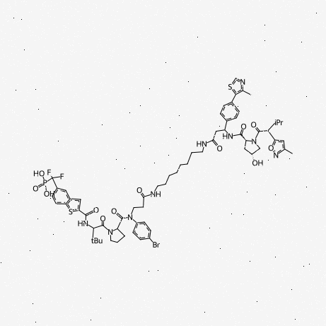 Cc1cc(C(C(=O)N2C[C@H](O)C[C@H]2C(=O)NC(CC(=O)NCCCCCCCCNC(=O)CCN(C(=O)C2CCCN2C(=O)C(NC(=O)c2cc3cc(C(F)(F)P(=O)(O)O)ccc3s2)C(C)(C)C)c2ccc(Br)cc2)c2ccc(-c3scnc3C)cc2)C(C)C)on1